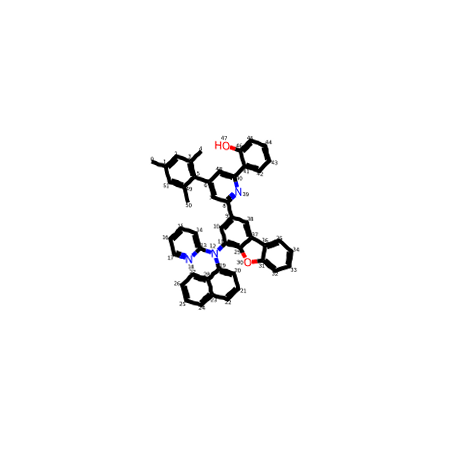 Cc1cc(C)c(-c2cc(-c3cc(N(c4ccccn4)c4cccc5ccccc45)c4oc5ccccc5c4c3)nc(-c3ccccc3O)c2)c(C)c1